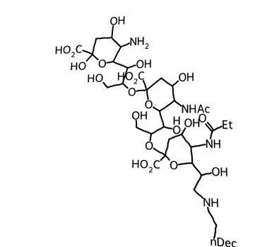 CCCCCCCCCCCCNCC(O)C1OC(OC(CO)C(O)C2OC(OC(CO)C(O)C3OC(O)(C(=O)O)CC(O)C3N)(C(=O)O)CC(O)C2NC(C)=O)(C(=O)O)CC(O)C1NC(=O)CC